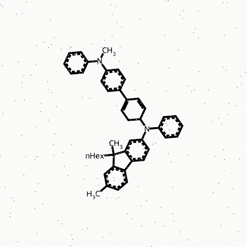 CCCCCCC1(C)c2cc(C)ccc2-c2ccc(N(c3ccccc3)C3C=CC(c4ccc(N(C)c5ccccc5)cc4)=CC3)cc21